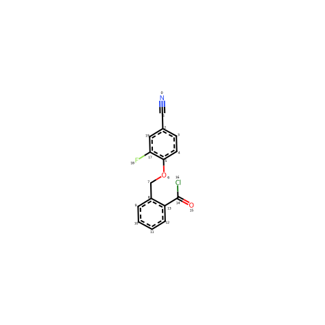 N#Cc1ccc(OCc2ccccc2C(=O)Cl)c(F)c1